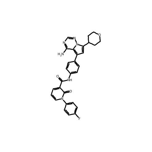 Nc1ncnn2c(C3CCOCC3)cc(-c3ccc(NC(=O)c4cccn(-c5ccc(F)cc5)c4=O)cc3)c12